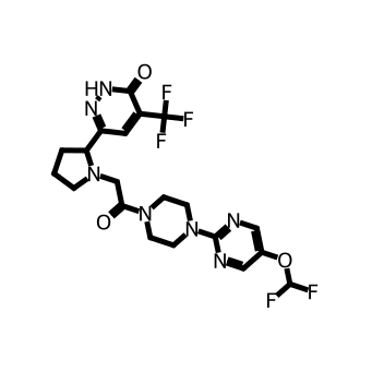 O=C(CN1CCCC1c1cc(C(F)(F)F)c(=O)[nH]n1)N1CCN(c2ncc(OC(F)F)cn2)CC1